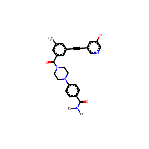 CCN(CC)C(=O)c1ccc(N2CCN(C(=O)c3cc(C#Cc4cncc(O)c4)cc(C(F)(F)F)c3)CC2)cc1